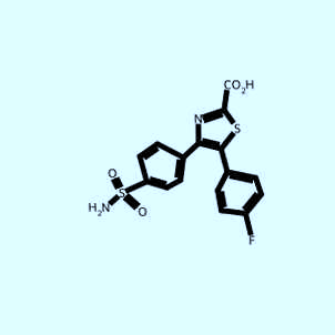 NS(=O)(=O)c1ccc(-c2nc(C(=O)O)sc2-c2ccc(F)cc2)cc1